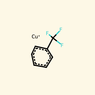 FC(F)(F)c1ccccc1.[Cu+]